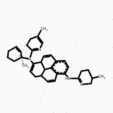 CC1=CN=C(N(C2=CCC3C=Cc4c(NC5=NCC(C)CC5)ccc5c4C3C2C=C5)[C@]2(C)C=CCCC2)CC1